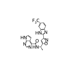 C[C@@H](NC(=O)c1ncnc2[nH]ccc12)c1cc(-c2nc3ccc(C(F)(F)F)cc3[nH]2)no1